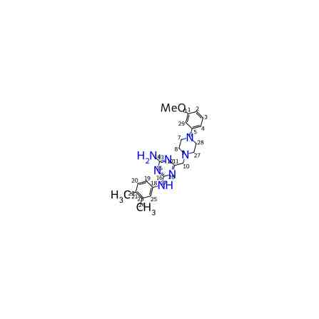 COc1cccc(N2CCN(Cc3nc(N)nc(Nc4ccc(C)c(C)c4)n3)CC2)c1